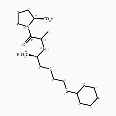 CCOC(=O)[C@H](CSCCSC1CCCCC1)NC(C)C(=O)N1CCC[C@H]1C(=O)O